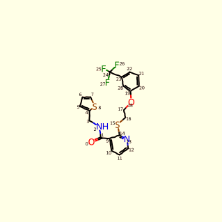 O=C(NCc1cccs1)c1cccnc1SCCOc1cccc(C(F)(F)F)c1